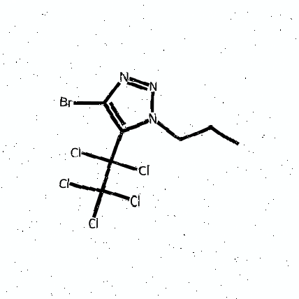 CCCn1nnc(Br)c1C(Cl)(Cl)C(Cl)(Cl)Cl